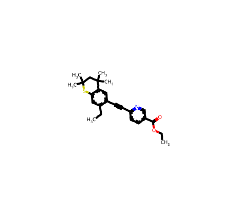 CCOC(=O)c1ccc(C#Cc2cc3c(cc2CC)SC(C)(C)CC3(C)C)nc1